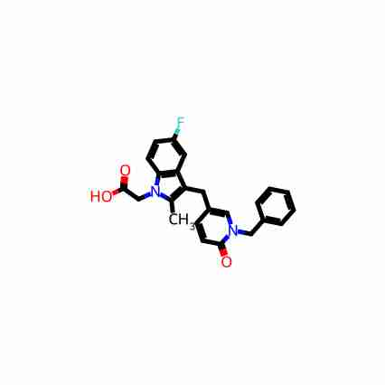 Cc1c(Cc2ccc(=O)n(Cc3ccccc3)c2)c2cc(F)ccc2n1CC(=O)O